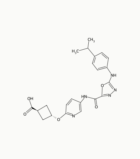 CC(C)c1ccc(Nc2nnc(C(=O)Nc3ccc(O[C@H]4C[C@H](C(=O)O)C4)nc3)o2)cc1